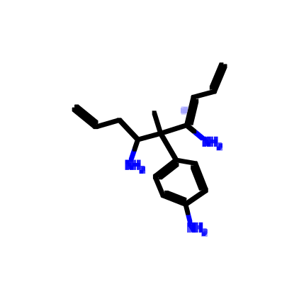 C=C/C=C(\N)C(C)(c1ccc(N)cc1)C(N)CC=C